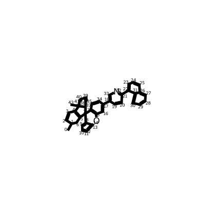 CC1C=CC2=C(C1)C1(c3ccccc3Oc3cc(-c4ccc(-c5cccc6ccccc56)nc4)ccc31)C1C=CC=CC21C